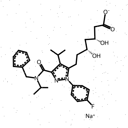 CC(C)c1c(C(=O)N(Cc2ccccc2)C(C)C)nn(-c2ccc(F)cc2)c1CC[C@@H](O)C[C@@H](O)CC(=O)[O-].[Na+]